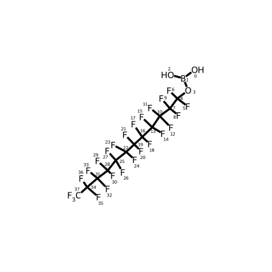 OB(O)OC(F)(F)C(F)(F)C(F)(F)C(F)(F)C(F)(F)C(F)(F)C(F)(F)C(F)(F)C(F)(F)C(F)(F)C(F)(F)C(F)(F)F